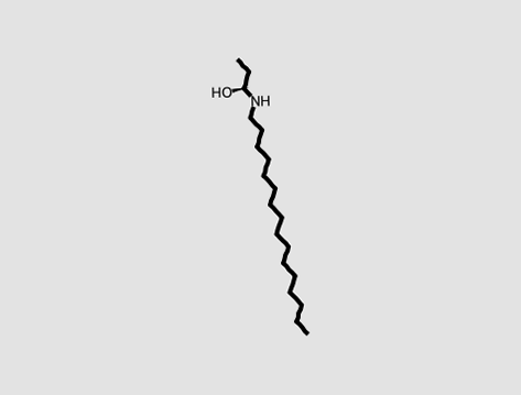 CCCCCCCCCCCCCCCCN[C@@H](O)CC